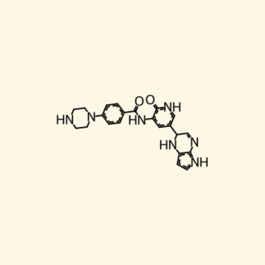 O=C(Nc1cc(C2C=Nc3[nH]ccc3N2)c[nH]c1=O)c1ccc(N2CCNCC2)cc1